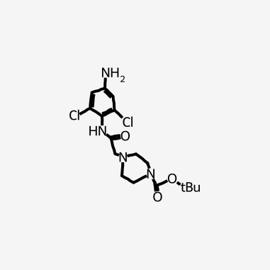 CC(C)(C)OC(=O)N1CCN(CC(=O)Nc2c(Cl)cc(N)cc2Cl)CC1